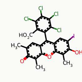 Cc1cc2c(-c3c(Cl)c(Cl)c(Cl)c(Cl)c3C(=O)O)c3cc(I)c(O)c(C)c3oc-2c(C)c1=O